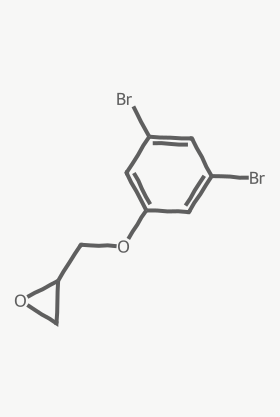 Brc1cc(Br)cc(OCC2CO2)c1